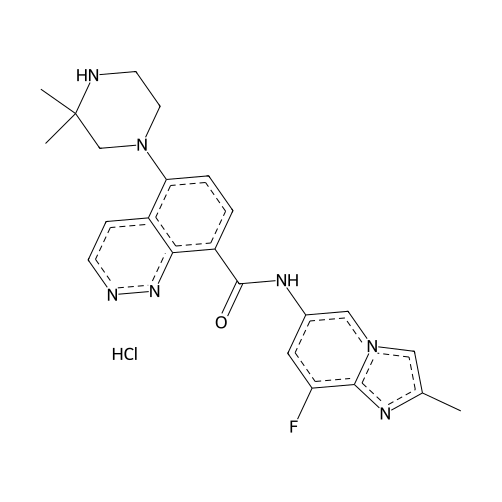 Cc1cn2cc(NC(=O)c3ccc(N4CCNC(C)(C)C4)c4ccnnc34)cc(F)c2n1.Cl